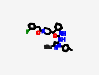 Cc1ccc(-n2nc(C(C)(C)C)cc2NC(=O)Nc2ccccc2CC2CCN(C(=O)Cc3cccc(F)c3)CC2)cc1